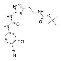 CC(C)(C)OC(=O)NCCc1cnc(NC(=O)Nc2ccc(C#N)c(Cl)c2)s1